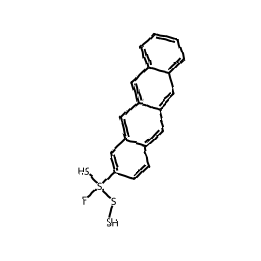 FS(S)(SS)c1ccc2cc3cc4ccccc4cc3cc2c1